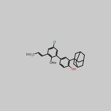 CCOC(=O)/C=C/c1cc(Cl)cc(-c2ccc(O)c(C34CC5CC(CC(C5)C3)C4)c2)c1OC